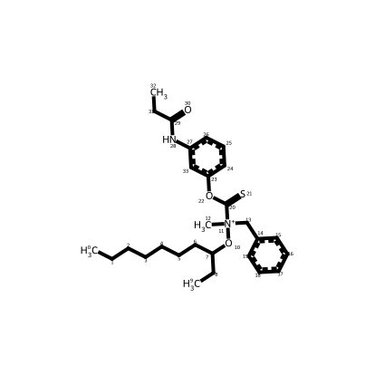 CCCCCCCC(CC)O[N+](C)(Cc1ccccc1)C(=S)Oc1cccc(NC(=O)CC)c1